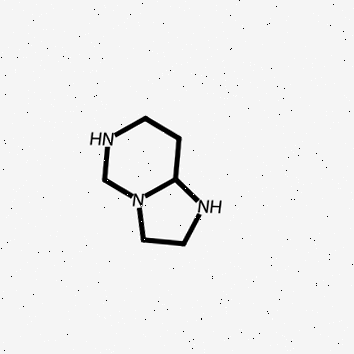 C1CC2NCCN2CN1